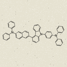 c1ccc(N(c2ccccc2)c2ccc(-n3c4ccccc4c4c(-c5ccc6cc(N(c7ccccc7)c7ccccc7)ccc6c5)cccc43)cc2)cc1